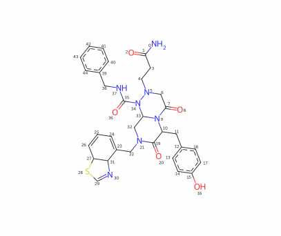 NC(=O)CCN1CC(=O)N2C(Cc3ccc(O)cc3)C(=O)N(CC3=CC=CC4SC=NC34)CC2N1C(=O)NCc1ccccc1